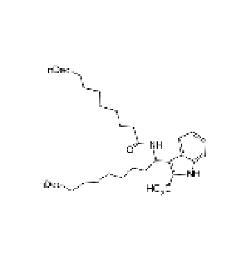 CCCCCCCCCCCCCCCCCC(=O)NC(CCCCCCCCCCCCCCCCC)c1c(C(=O)O)[nH]c2ccccc12